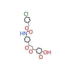 COc1cc(C(=O)CC(=O)c2ccc(NC(=O)OCc3ccc(Cl)cc3)cc2)ccc1O